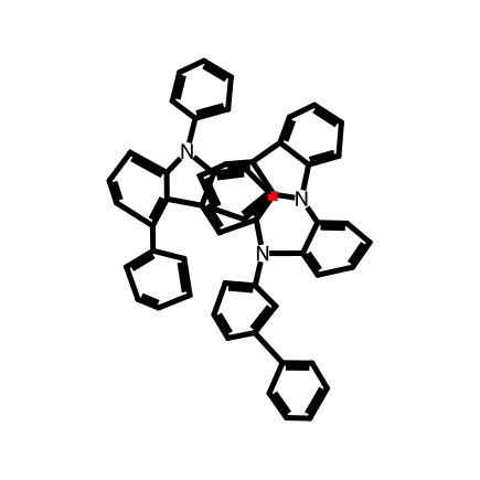 c1ccc(-c2cccc(N(c3ccc4c(c3)c3c(-c5ccccc5)cccc3n4-c3ccccc3)c3ccccc3-n3c4ccccc4c4ccccc43)c2)cc1